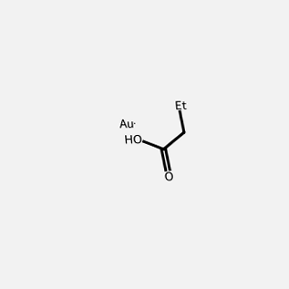 CCCC(=O)O.[Au]